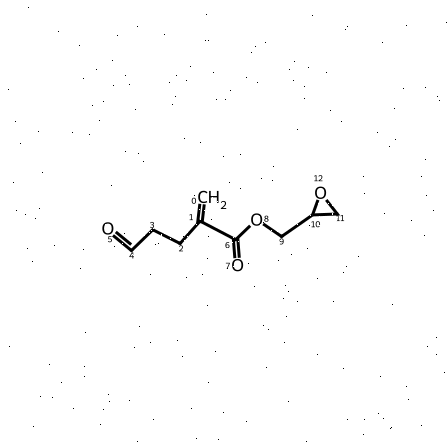 C=C(CCC=O)C(=O)OCC1CO1